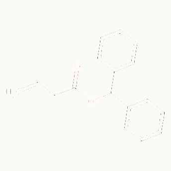 C=CCC(=O)OC(c1ccccc1)c1ccccc1